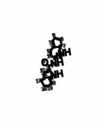 O=C(NC1=NNc2ccccc2C=C1)c1cc2ccccc2[nH]1